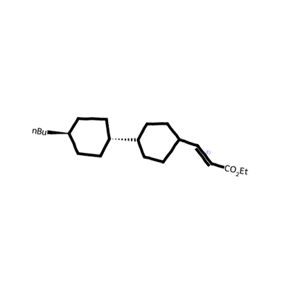 CCCC[C@H]1CC[C@H](C2CCC(/C=C/C(=O)OCC)CC2)CC1